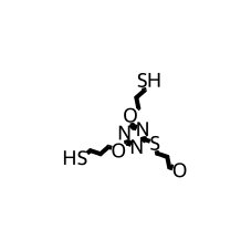 O=CCCSc1nc(OCCCS)nc(OCCCS)n1